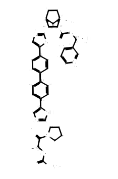 COC(=O)N[C@H](C(=O)N1CCC[C@H]1c1ncc(-c2ccc(-c3ccc(-c4cnc([C@@H]5C6CC[C@H](C6)[C@H]5C(=O)N[C@H](C)c5cccnc5)[nH]4)cc3)cc2)[nH]1)C(C)C